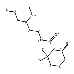 CCCC(CCOC(=O)[C@@H]1[C@@H](C)CCCC1(C)C)SC